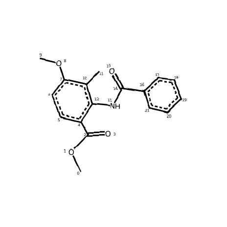 COC(=O)c1ccc(OC)c(C)c1NC(=O)c1ccccc1